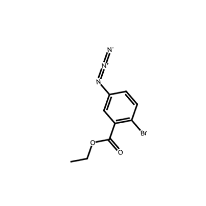 CCOC(=O)c1cc(N=[N+]=[N-])ccc1Br